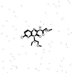 CC[C@H](COC)n1c(=O)c(NC(=O)CNC)nc2ccc(Cl)nc21